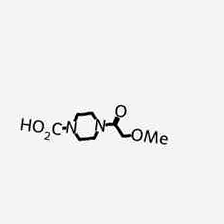 COCC(=O)N1CCN(C(=O)O)CC1